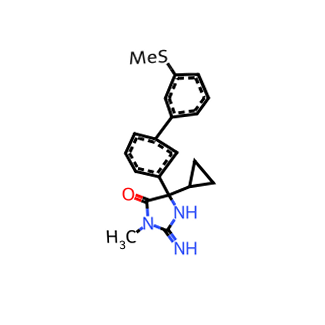 CSc1cccc(-c2cccc(C3(C4CC4)NC(=N)N(C)C3=O)c2)c1